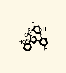 CN(C(=O)N1CC(c2cc(F)ccc2F)=C[C@@]1(CO)c1ccccc1)C1CCNCC1F